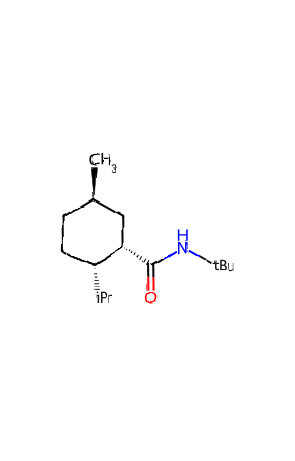 CC(C)[C@@H]1CC[C@@H](C)C[C@@H]1C(=O)NC(C)(C)C